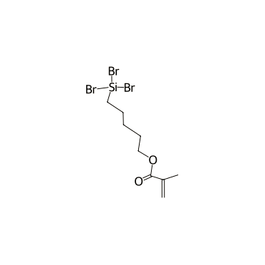 C=C(C)C(=O)OCCCCC[Si](Br)(Br)Br